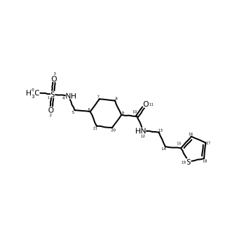 CS(=O)(=O)NCC1CCC(C(=O)NCCc2cccs2)CC1